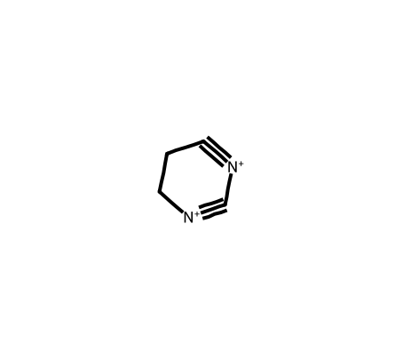 C1#[N+]C#[N+]CC1